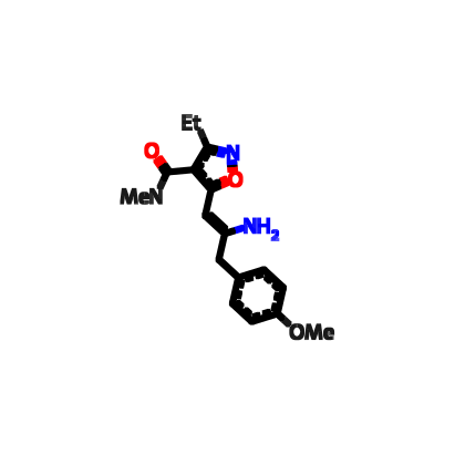 CCc1noc(C=C(N)Cc2ccc(OC)cc2)c1C(=O)NC